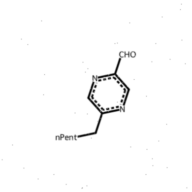 CCCCCCc1cnc(C=O)cn1